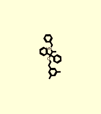 Cc1cc(C)cc(CCOC(c2ccccc2)(c2ccccc2)C(C)NCc2ccccc2)c1